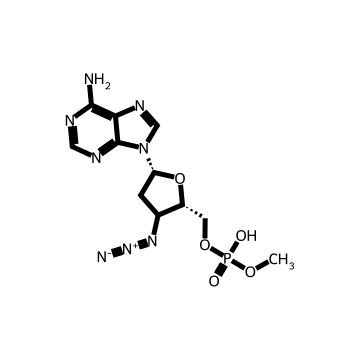 COP(=O)(O)OC[C@H]1O[C@@H](n2cnc3c(N)ncnc32)CC1N=[N+]=[N-]